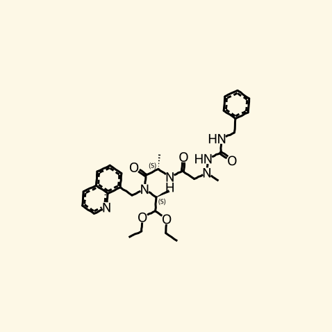 CCOC(OCC)[C@H](C)N(Cc1cccc2cccnc12)C(=O)[C@H](C)NC(=O)CN(C)NC(=O)NCc1ccccc1